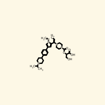 C=Nn1cc(-c2ccc(C3CCN(C(C)C)CC3)cc2)cc1/C(=C\C)N1CCN(C(=O)OC(CO)C(=O)O)CC1